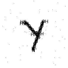 [N-]=[N+]=NCCOCCOCCOCCOCCC(=O)N(CCNC(=O)CCOCCOCCOCCOCCO)CCNC(=O)CCOCCOCCOCCOCCON=C(CS)CS